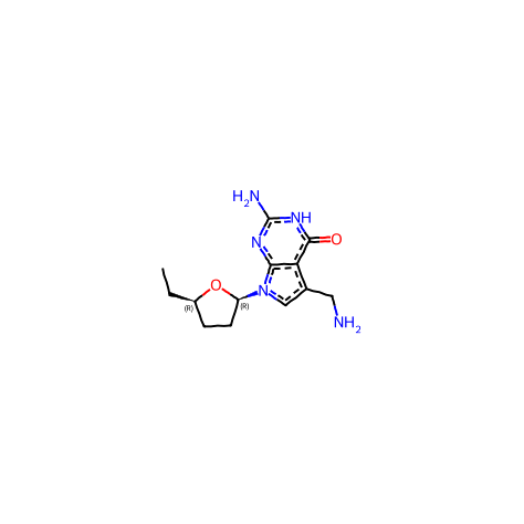 CC[C@@H]1CC[C@H](n2cc(CN)c3c(=O)[nH]c(N)nc32)O1